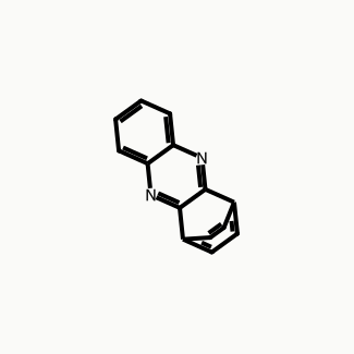 c1ccc2nc3c4ccc(cc4)c3nc2c1